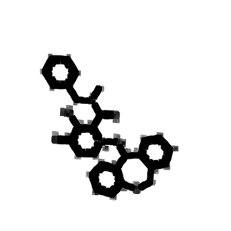 CN(Cc1ccccc1)C(=O)c1c(O)c(=O)ccn1NC1c2ccccc2COc2ccccc21